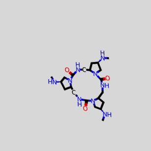 CN[C@@H]1CC2CNC(=O)N3C[C@H](NC)CC3CNC(=O)N3C[C@H](NC)CC3CNC(=O)N2C1